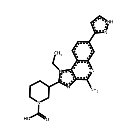 CCn1c(C2CCCN(C(=O)O)C2)nc2c(N)nc3cc(-c4cc[nH]n4)ccc3c21